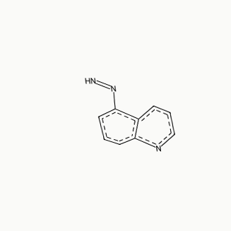 N=Nc1cccc2ncccc12